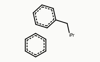 CC(C)Cc1ccccc1.c1ccccc1